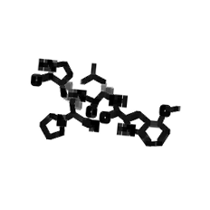 COc1cccc2[nH]c(C(=O)N[C@@H](CC(C)C)C(=O)N[C@@H](C[C@@H]3CCNC3=O)C(C#N)N3CCCC3)cc12